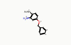 CC(=O)Nc1ccc(OCc2ccccc2)cc1N